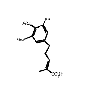 CC(=CCCc1cc(C(C)(C)C)c(O)c(C(C)(C)C)c1)C(=O)O